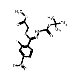 COC(=O)CSC(=NNC(=O)OC(C)(C)C)c1ccc([N+](=O)[O-])cc1F